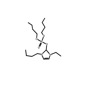 CCCCOP(=O)(OCCCC)OC1N(CC)C=CN1CCCC